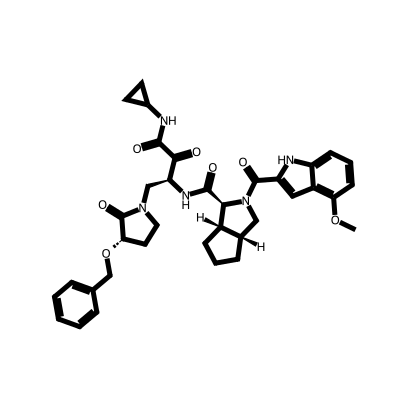 COc1cccc2[nH]c(C(=O)N3C[C@@H]4CCC[C@@H]4[C@H]3C(=O)N[C@@H](CN3CC[C@H](OCc4ccccc4)C3=O)C(=O)C(=O)NC3CC3)cc12